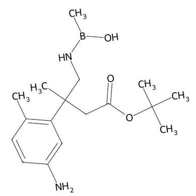 CB(O)NCC(C)(CC(=O)OC(C)(C)C)c1cc(N)ccc1C